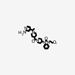 COCCn1c(=O)n(C2CCN(C(=O)C3CCN(C(C)c4ccnc(N)c4)CC3)CC2)c2ccccc21